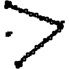 CCc1ccc(OCCOCCOCCOCCOCCOCCOCCOCCOCCCS(=O)(=O)[O-])cc1OCCOCCOCCOCCOCCOCCOCCOCCOCCCS(=O)(=O)[O-].[K+].[K+]